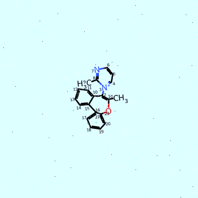 CC1=C([n+]2cccnc2C)c2ccccc2-c2ccccc2O1